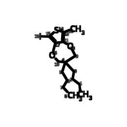 CCCCC1(CCCC)COc2c(C)sc(I)c2OC1